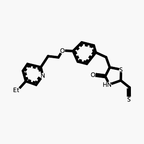 CCc1ccc(CCOc2ccc(CC3SC(C=S)NC3=O)cc2)nc1